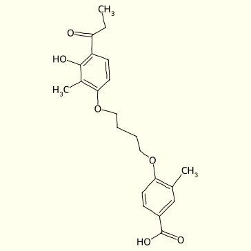 CCC(=O)c1ccc(OCCCCOc2ccc(C(=O)O)cc2C)c(C)c1O